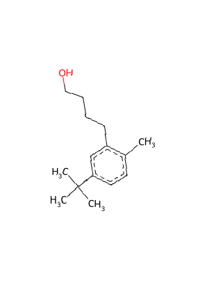 Cc1ccc(C(C)(C)C)cc1CCCCO